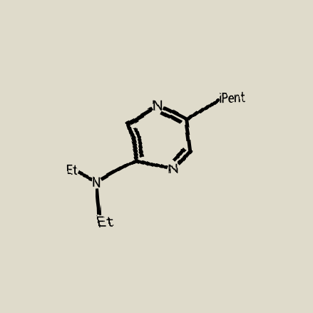 CCCC(C)c1cnc(N(CC)CC)cn1